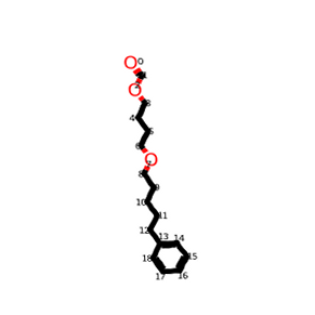 O=COCCCCOCCCCCc1ccccc1